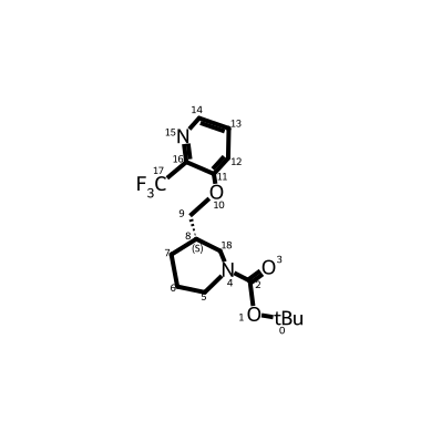 CC(C)(C)OC(=O)N1CCC[C@H](COc2cccnc2C(F)(F)F)C1